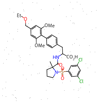 CCOCc1cc(OC)c(-c2ccc(CC(NC(=O)C3(C)CCCN3S(=O)(=O)c3cc(Cl)cc(Cl)c3)C(=O)O)cc2)c(OC)c1